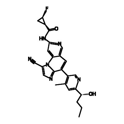 CCC[C@@H](O)c1cc(C)c(-c2cc3cnc(NC(=O)[C@H]4C[C@H]4F)cc3n3c(C#N)cnc23)cn1